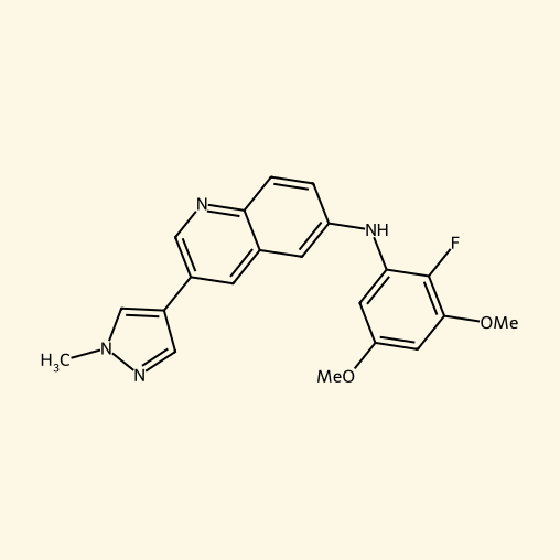 COc1cc(Nc2ccc3ncc(-c4cnn(C)c4)cc3c2)c(F)c(OC)c1